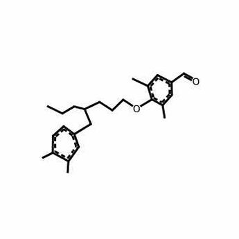 CCCC(CCCOc1c(C)cc(C=O)cc1C)Cc1ccc(C)c(C)c1